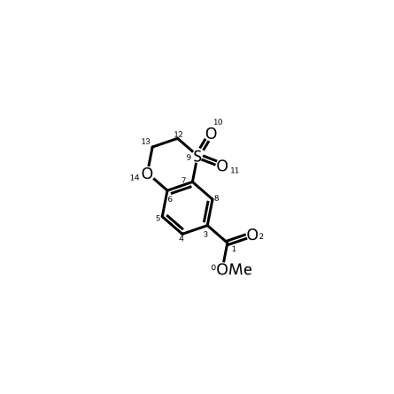 COC(=O)c1ccc2c(c1)S(=O)(=O)CCO2